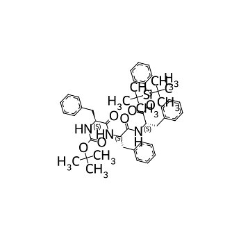 CC(C)(C)OC(=O)N[C@@H](Cc1ccccc1)C(=O)N[C@@H](Cc1ccccc1)C(=O)N[C@@H](Cc1ccccc1)C(=O)O[Si](c1ccccc1)(C(C)(C)C)C(C)(C)C